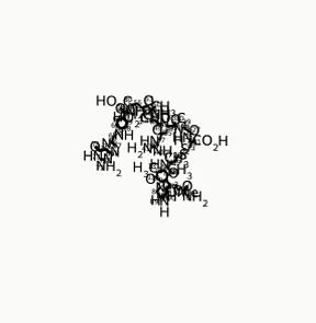 CO[C@@]12[C@H](COC(N)=O)C3=C(C(=O)C(C)=C(NC(C)(C)CCSSC[C@H](NC(=O)[C@H](CC(=O)O)NC(=O)[C@H](CCCNC(=N)N)NC(=O)[C@H](CC(=O)O)NC(C)(C)C(=O)CC[C@H](NC(=O)c4ccc(NCc5cnc6nc(N)[nH]c(=O)c6n5)cc4)C(=O)O)C(=O)O)C3=O)N1C[C@@H]1N[C@@H]12